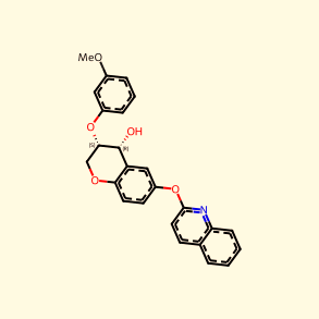 COc1cccc(O[C@H]2COc3ccc(Oc4ccc5ccccc5n4)cc3[C@H]2O)c1